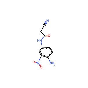 N#CCC(=O)Nc1ccc(N)c([N+](=O)[O-])c1